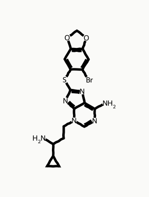 Nc1ncn(CCC(N)C2CC2)c2nc(Sc3cc4c(cc3Br)OCO4)nc1-2